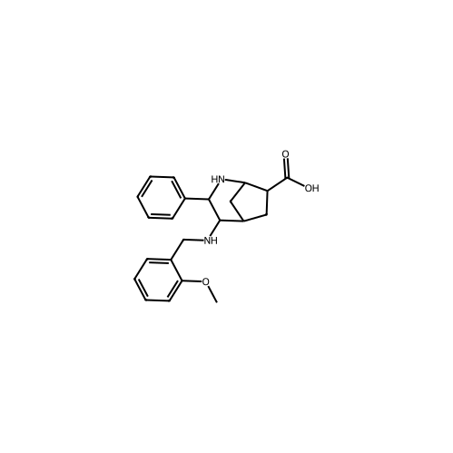 COc1ccccc1CNC1C2CC(NC1c1ccccc1)C(C(=O)O)C2